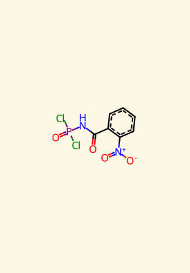 O=C(NP(=O)(Cl)Cl)c1ccccc1[N+](=O)[O-]